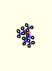 c1ccc(N(c2ccccc2)c2ccc3c(c2)N(c2ccccc2)c2cc(N(c4ccccc4)c4ccccc4)cc4c2B3c2cc3c(nc2O4)N(c2ccccc2)c2cc(N(c4ccccc4)c4ccccc4)cc4c2B3c2ccccc2N4c2ccccc2)cc1